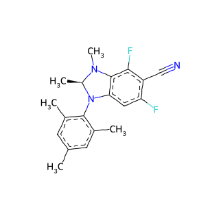 Cc1cc(C)c(N2c3cc(F)c(C#N)c(F)c3N(C)[C@@H]2C)c(C)c1